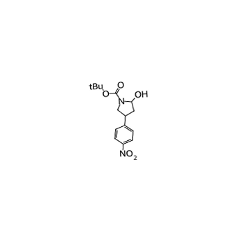 CC(C)(C)OC(=O)N1CC(c2ccc([N+](=O)[O-])cc2)CC1O